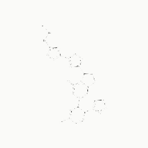 O=C(O)Nc1ccc(-c2cnc(C3CCc4cc(-c5cc(Cl)ccc5-n5cnnn5)cc(=O)n43)[nH]2)s1